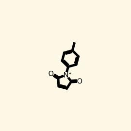 Cc1ccc([N+]2C(=O)C=CC2=O)cc1